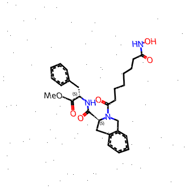 COC(=O)[C@H](Cc1ccccc1)NC(=O)[C@@H]1Cc2ccccc2CN1C(=O)CCCCCCC(=O)NO